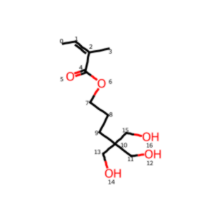 CC=C(C)C(=O)OCCCC(CO)(CO)CO